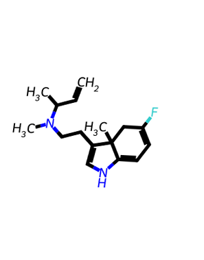 C=CC(C)N(C)CCC1=CNC2=CC=C(F)CC12C